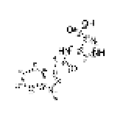 Cn1cc(CC(=O)Nc2c[nH]nc2C(=O)O)c2ccccc21